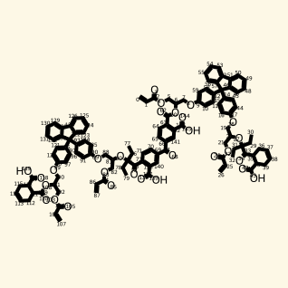 C=CC(=O)OCC(COc1ccc(C2(c3ccc(OCC(COC(=O)C=C)OC(CC)(CC)C(=O)C4CC=CCC4C(=O)O)cc3)c3ccccc3-c3ccccc32)cc1)OC(=O)c1ccc(C(=O)c2ccc(C(=O)C(CC)(CC)OC(COC(=O)C=C)COc3ccc(C4(c5ccc(OCC(COC(=O)C=C)OC(=O)C6CC=CCC6C(=O)O)cc5)c5ccccc5-c5ccccc54)cc3)c(C(=O)O)c2)cc1C(=O)O